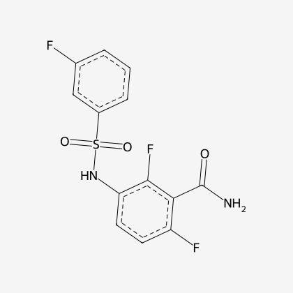 NC(=O)c1c(F)ccc(NS(=O)(=O)c2cccc(F)c2)c1F